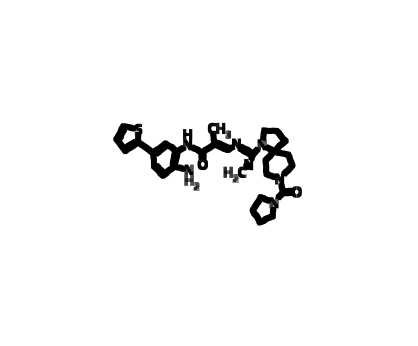 C=N/C(=N\C=C(/C)C(=O)Nc1cc(-c2cccs2)ccc1N)N1CCCC12CCN(C(=O)N1CCCC1)CC2